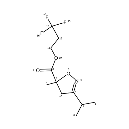 CC(C)C1=NOC(C)(C(=O)OCCC(F)(F)F)C1